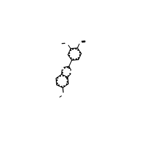 COc1ccc2nc(-c3ccc(N=O)c(OC)c3)sc2c1